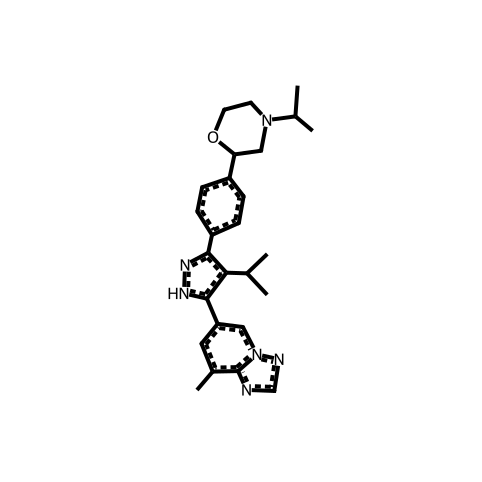 Cc1cc(-c2[nH]nc(-c3ccc(C4CN(C(C)C)CCO4)cc3)c2C(C)C)cn2ncnc12